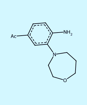 CC(=O)c1ccc(N)c(N2CCCOCC2)c1